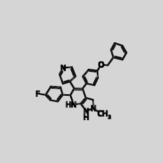 CN1CC2=C(NC(c3ccc(F)cc3)C(c3ccncc3)=C2c2ccc(OCc3ccccc3)cc2)N1